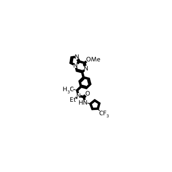 CCN(C(=O)N[C@@H]1CC[C@H](C(F)(F)F)C1)[C@H](C)c1cccc(-c2cn3ccnc3c(OC)n2)c1